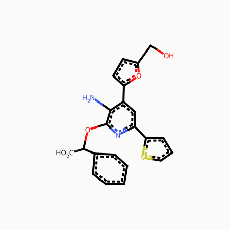 Nc1c(-c2ccc(CO)o2)cc(-c2cccs2)nc1OC(C(=O)O)c1ccccc1